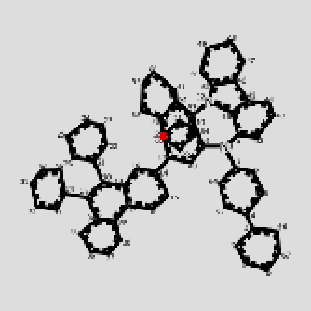 c1ccc(-c2ccc(N(c3cccc(-c4ccc5c(c4)c(-c4ccccc4)c(-c4ccccc4)c4ccccc45)c3)c3cccc4c5ccccc5n(-c5cccc6ccccc56)c34)cc2)cc1